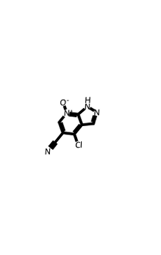 N#Cc1c[n+]([O-])c2[nH]ncc2c1Cl